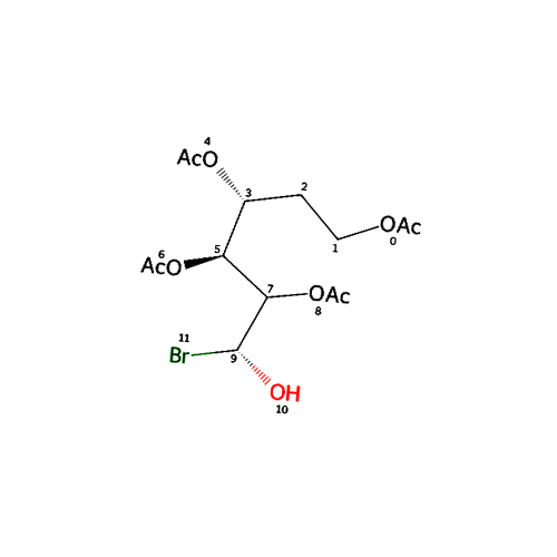 CC(=O)OCC[C@@H](OC(C)=O)[C@H](OC(C)=O)C(OC(C)=O)[C@H](O)Br